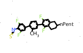 CCCCCC1CCc2c(cc(F)c(-c3ccc(-c4cc(F)c(N=C=S)c(F)c4)c(C)c3)c2F)C1